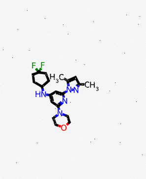 Cc1cc(C)n(-c2cc(NC3CCC(F)(F)CC3)cc(N3CCOCC3)n2)n1